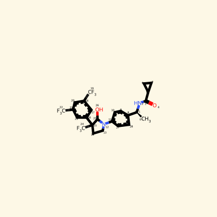 C[C@H](NC(=O)C1CC1)c1ccc(N2CCC(c3cc(C(F)(F)F)cc(C(F)(F)F)c3)(C(F)(F)F)C2O)cc1